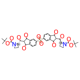 CC(C)(C)OC(=O)N1CC[C@H]1C(=O)C1C(=O)c2ccc(S(=O)(=O)c3ccc4c(c3)C(=O)C(C(=O)[C@@H]3CCN3C(=O)OC(C)(C)C)C4=O)cc2C1=O